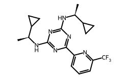 C[C@H](Nc1nc(N[C@@H](C)C2CC2)nc(-c2cccc(C(F)(F)F)n2)n1)C1CC1